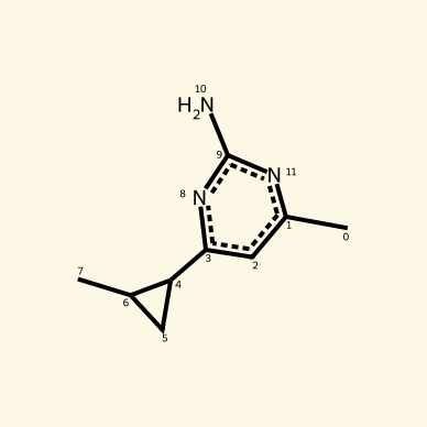 Cc1cc(C2CC2C)nc(N)n1